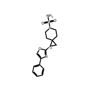 NS(=O)(=O)N1CCC2(CC1)C[C@H]2c1nc(-c2ccccc2)co1